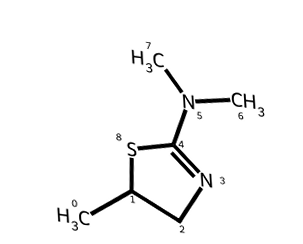 CC1CN=C(N(C)C)S1